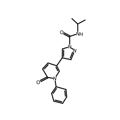 CC(C)NC(=O)n1cc(-c2ccc(=O)n(-c3ccccc3)c2)cn1